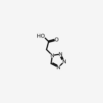 O=C(O)Cn1cnnn1